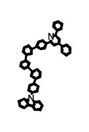 c1ccc(-c2cc(-c3ccccc3)nc(-c3ccc(-c4cccc(-c5cccc(-c6cccc(-c7ccc(-n8c9ccccc9c9ccccc98)cc7)c6)c5)c4)cc3)c2)cc1